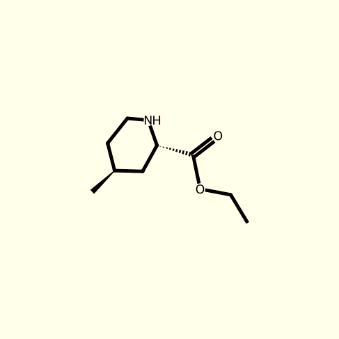 CCOC(=O)[C@@H]1C[C@@H](C)CCN1